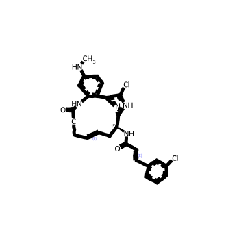 CNc1ccc2c(c1)NC(=O)CC/C=C/C[C@H](NC(=O)/C=C/c1cccc(Cl)c1)c1nc-2c(Cl)[nH]1